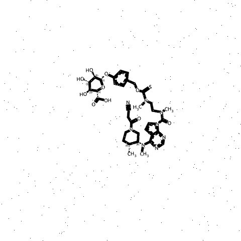 C[C@@H]1CCN(C(=O)CC#N)C[C@@H]1N(C)c1ncnc2c1ccn2C(=O)N(C)CCN(C)C(=S)OCc1ccc(O[C@@H]2O[C@H](C(=O)O)[C@@H](O)[C@H](O)[C@H]2O)cc1